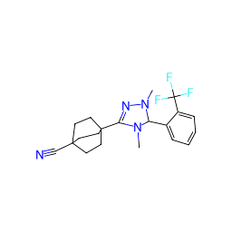 CN1N=C(C23CCC(C#N)(CC2)CC3)N(C)C1c1ccccc1C(F)(F)F